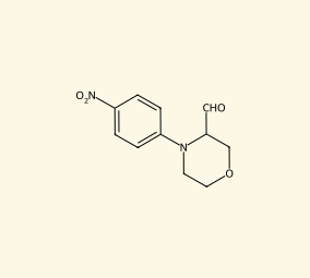 O=CC1COCCN1c1ccc([N+](=O)[O-])cc1